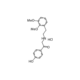 COc1cccc(CCNCC(=O)c2ccc(O)cc2)c1OC.Cl